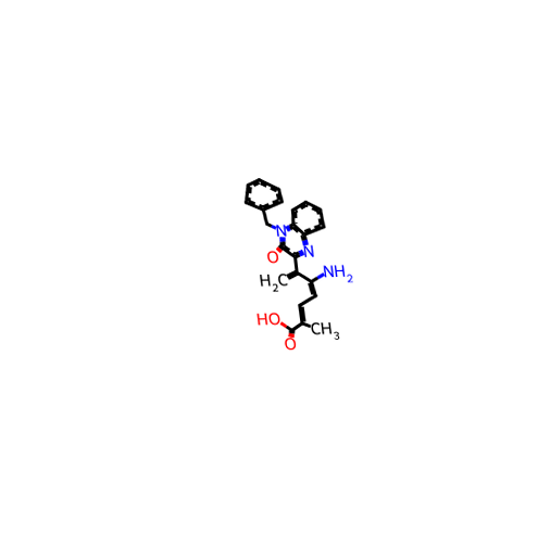 C=C(/C(N)=C\C=C(/C)C(=O)O)c1nc2ccccc2n(Cc2ccccc2)c1=O